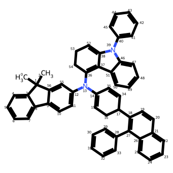 CC1(C)c2ccccc2-c2ccc(N(C3=CCC(c4ccc5ccccc5c4-c4ccccc4)C=C3)C3=c4c(n(-c5ccccc5)c5ccccc45)=CCC3)cc21